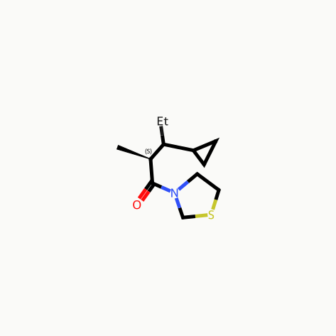 CCC(C1CC1)[C@H](C)C(=O)N1CCSC1